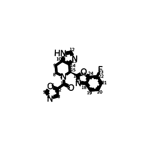 O=C(c1cnco1)N1CCc2[nH]cnc2[C@H]1c1nc2cccc(F)c2o1